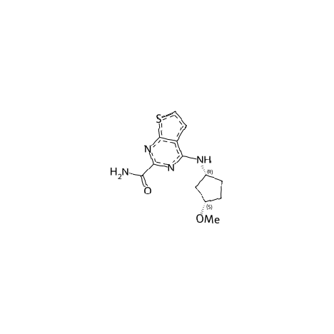 CO[C@H]1CC[C@@H](Nc2nc(C(N)=O)nc3sccc23)C1